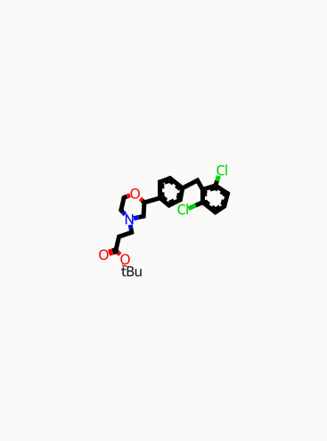 CC(C)(C)OC(=O)CCN1CCOC(c2ccc(Cc3c(Cl)cccc3Cl)cc2)C1